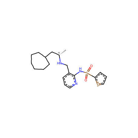 C[C@@H](CC1CCCCCC1)NCc1cccnc1NS(=O)(=O)c1cccs1